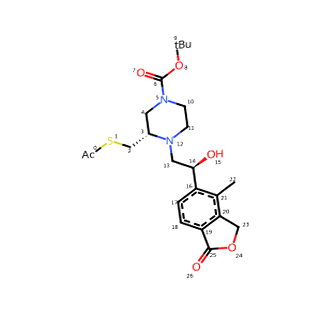 CC(=O)SC[C@@H]1CN(C(=O)OC(C)(C)C)CCN1C[C@@H](O)c1ccc2c(c1C)COC2=O